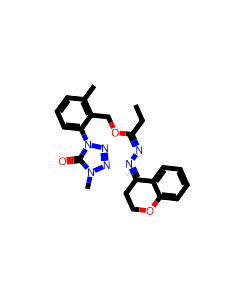 CC/C(=N/N=C1/CCOc2ccccc21)OCc1c(C)cccc1-n1nnn(C)c1=O